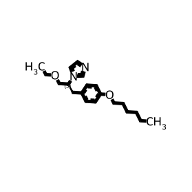 CCCCCCOc1ccc(C[C@@H](COCC)n2ccnc2)cc1